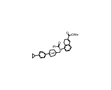 COC(=O)C1=Cc2cccc(N(CC34CCC(c5ccc(C6CC6)cc5)(CC3)CC4)C(=O)C(C)C)c2CC1